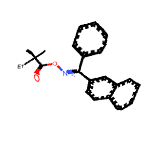 CCC(C)(C)C(=O)O/N=C(\c1ccccc1)c1ccc2ccccc2c1